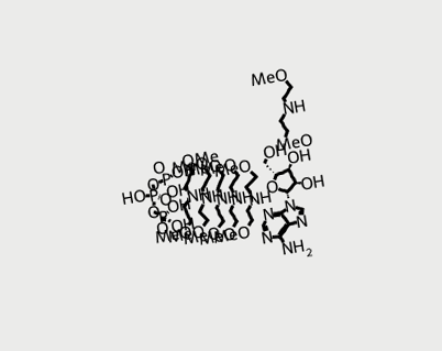 COCCNCCOC.COCCNCCOC.COCCNCCOC.COCCNCCOC.COCCNCCOC.COCCNCCOC.Nc1ncnc2c1ncn2[C@@H]1O[C@H](CO)[C@@H](O)[C@H]1O.O=P(O)(O)OP(=O)(O)OP(=O)(O)O